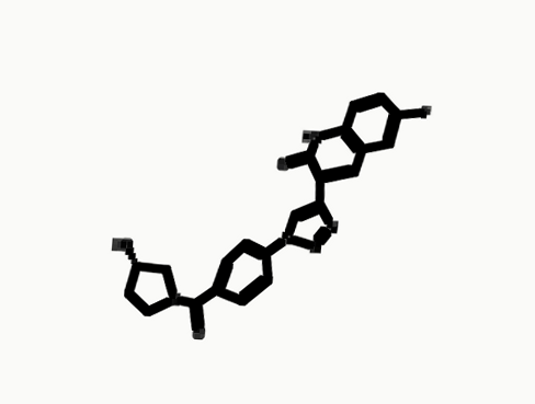 O=C(c1ccc(-n2cc(-c3cc4cc(F)ccc4[nH]c3=O)nn2)cc1)N1CC[C@H](O)C1